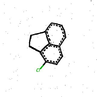 Clc1ccc2cccc3c2c1CC3